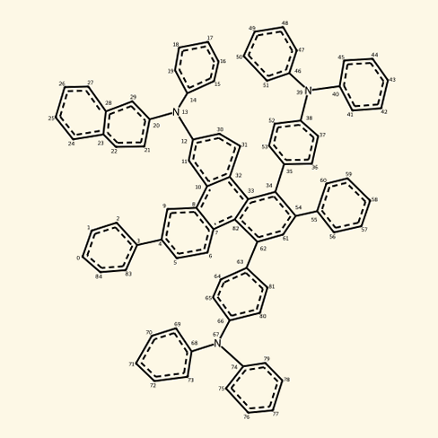 c1ccc(-c2ccc3c(c2)c2cc(N(c4ccccc4)c4ccc5ccccc5c4)ccc2c2c(-c4ccc(N(c5ccccc5)c5ccccc5)cc4)c(-c4ccccc4)cc(-c4ccc(N(c5ccccc5)c5ccccc5)cc4)c32)cc1